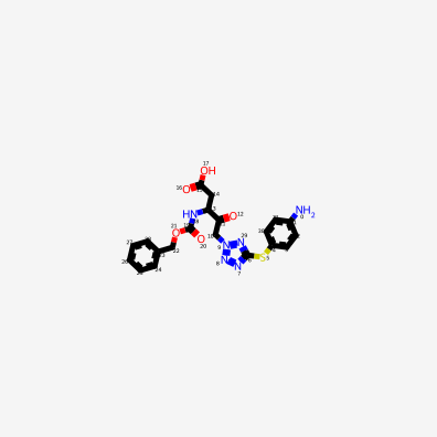 Nc1ccc(Sc2nnn(CC(=O)C(CC(=O)O)NC(=O)OCc3ccccc3)n2)cc1